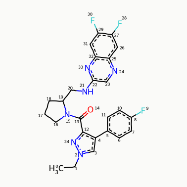 CCn1cc(-c2ccc(F)cc2)c(C(=O)N2CCCC2CNc2cnc3cc(F)c(F)cc3n2)n1